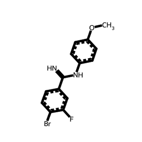 COc1ccc(NC(=N)c2ccc(Br)c(F)c2)cc1